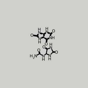 NC(=O)NC1NC(=O)NC1=O.O=c1[nH]c(=O)c2[nH]c(=O)[nH]c2[nH]1